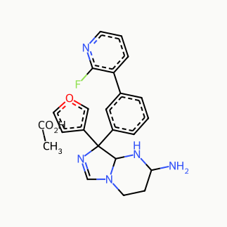 CC(=O)O.NC1CCN2C=NC(c3ccoc3)(c3cccc(-c4cccnc4F)c3)C2N1